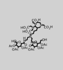 CC(=O)OC(CO)C(OC(C)=O)C(OC(C)=O)C(OC(C)=O)C(=O)NCCN(CCNC(=O)C(OC(C)=O)C(OC(C)=O)C(OC(C)=O)C(CO)OC(C)=O)OCCCC1CN(CC(=O)O)CCN(CC(=O)O)C1N(CC(=O)O)CC(=O)O